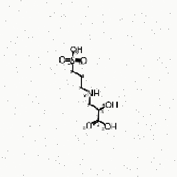 O=C(O)C(O)CNCCCS(=O)(=O)O